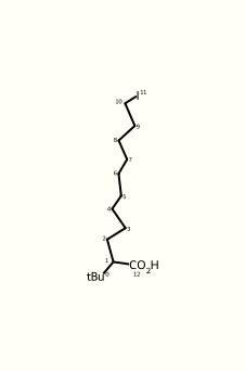 CC(C)(C)C(CCCCCCCCCI)C(=O)O